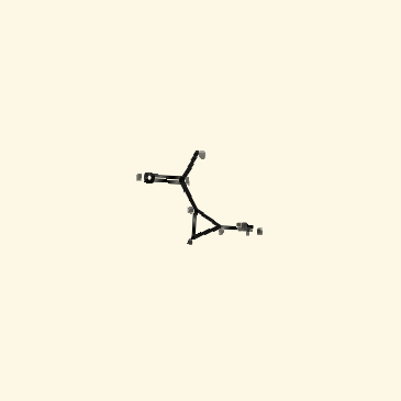 CC(=O)C1CC1[18F]